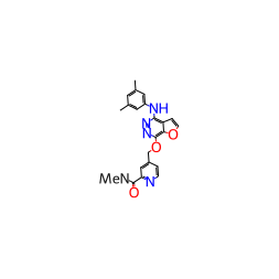 CNC(=O)c1cc(COc2nnc(Nc3cc(C)cc(C)c3)c3ccoc23)ccn1